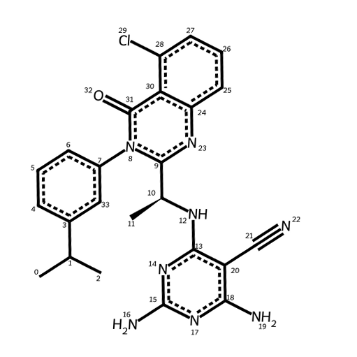 CC(C)c1cccc(-n2c([C@H](C)Nc3nc(N)nc(N)c3C#N)nc3cccc(Cl)c3c2=O)c1